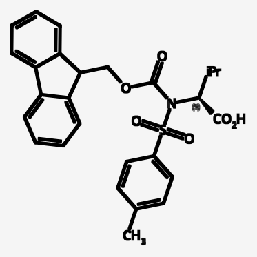 Cc1ccc(S(=O)(=O)N(C(=O)OCC2c3ccccc3-c3ccccc32)[C@H](C(=O)O)C(C)C)cc1